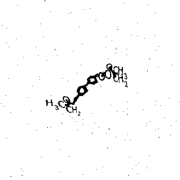 C=C(C)C(=O)CC#Cc1ccc(-c2ccc(COCOC(=O)C(=C)C)cc2)cc1